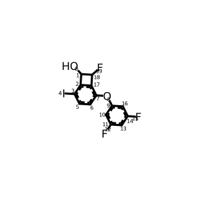 OC1c2c(I)ccc(Oc3cc(F)cc(F)c3)c2C1F